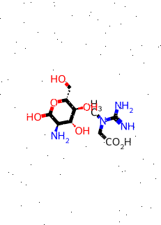 CN(CC(=O)O)C(=N)N.N[C@H]1C(O)O[C@H](CO)[C@@H](O)[C@@H]1O